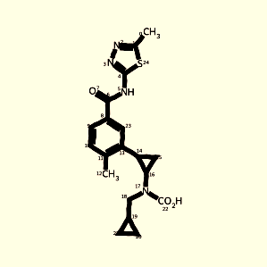 Cc1nnc(NC(=O)c2ccc(C)c(C3CC3N(CC3CC3)C(=O)O)c2)s1